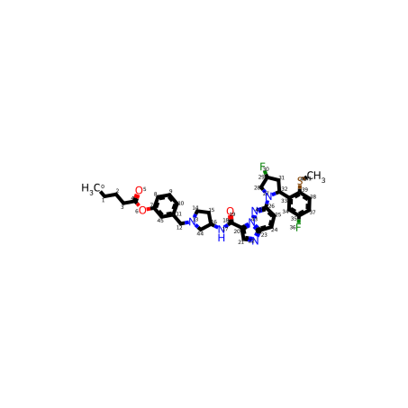 CCCCC(=O)Oc1cccc(CN2CCC(NC(=O)c3cnc4ccc(N5CC(F)CC5c5cc(F)ccc5SC)nn34)C2)c1